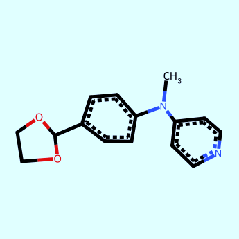 CN(c1ccncc1)c1ccc(C2OCCO2)cc1